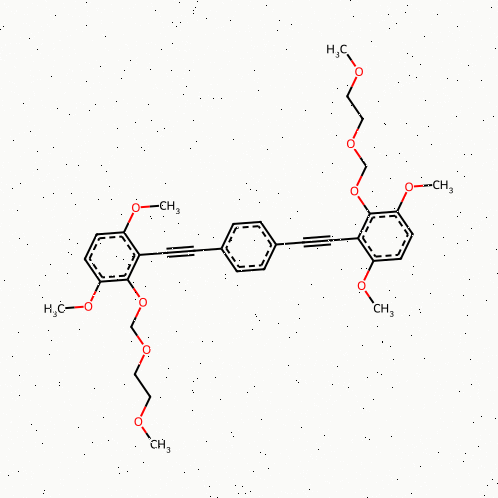 COCCOCOc1c(OC)ccc(OC)c1C#Cc1ccc(C#Cc2c(OC)ccc(OC)c2OCOCCOC)cc1